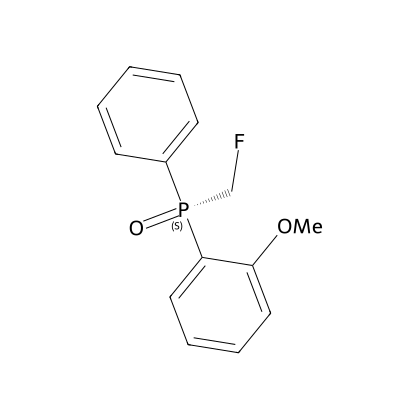 COc1ccccc1[P@](=O)(CF)c1ccccc1